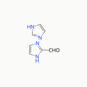 O=Cc1ncc[nH]1.c1c[nH]cn1